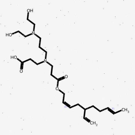 C=CC(C/C=C\COC(=O)CCN(CCCN(CCO)CCO)CCC(=O)O)CC/C=C/C